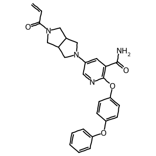 C=CC(=O)N1CC2CN(c3cnc(Oc4ccc(Oc5ccccc5)cc4)c(C(N)=O)c3)CC2C1